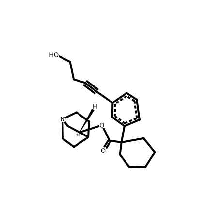 O=C(O[C@H]1CN2CCC1CC2)C1(c2cccc(C#CCCO)c2)CCCCC1